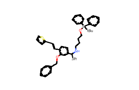 CCCC(NCCCCO[Si](c1ccccc1)(c1ccccc1)C(C)(C)C)c1ccc(C=Cc2cccs2)c(OCc2ccccc2)c1